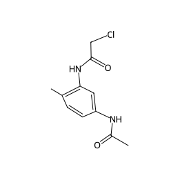 CC(=O)Nc1ccc(C)c(NC(=O)CCl)c1